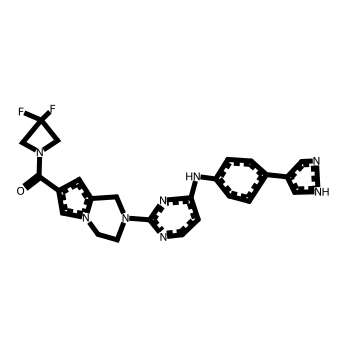 O=C(c1cc2n(c1)CCN(c1nccc(Nc3ccc(-c4cn[nH]c4)cc3)n1)C2)N1CC(F)(F)C1